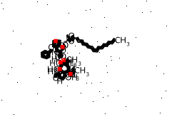 CCCCCCCC/C=C\CCCCCCC[C@H]1OC[C@@H](COC(=O)O[C@@H](C(=O)O[C@H]2C[C@@]3(O)[C@@H](O)[C@@H]4[C@]5(O)CO[C@@H]5C[C@H](O)[C@@]4(C)C(=O)[C@H](OC(C)=O)C(=C2C)C3(C)C)[C@@H](NC(=O)c2ccccc2)c2ccccc2)O1